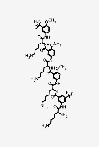 COc1ccc(NC(=O)[C@H](CCCCN)NC(=O)c2cc(NC(=O)[C@H](CCCCN)NC(=O)c3cc(NC(=O)[C@H](CCCCCN)NC(=O)c4cc(NC(=O)[C@@H](N)CCCCN)cc(C(F)(F)F)c4)ccc3OC)ccc2OC)cc1C(N)=O